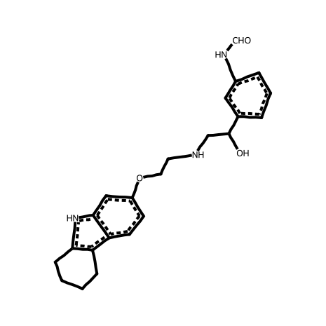 O=CNc1cccc(C(O)CNCCOc2ccc3c4c([nH]c3c2)CCCC4)c1